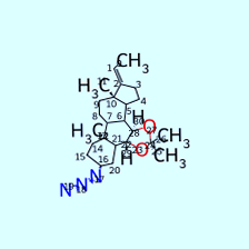 C/C=C1\CCC2C3C(CC[C@]12C)[C@@]1(C)CC[C@H](N=[N+]=[N-])CC1[C@H]1OC(C)(C)O[C@H]31